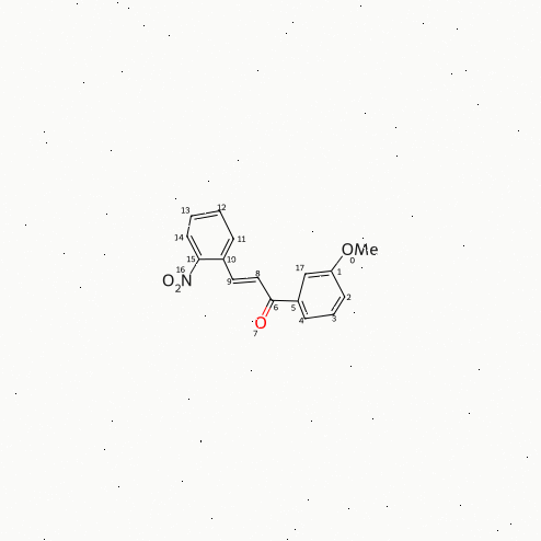 COc1cccc(C(=O)/C=C/c2ccccc2[N+](=O)[O-])c1